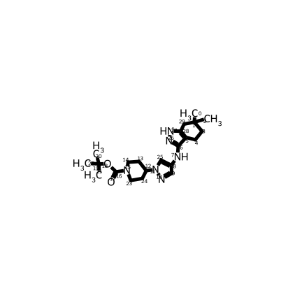 CC1(C)CCc2c(Nc3cnn(C4CCN(C(=O)OC(C)(C)C)CC4)c3)n[nH]c2C1